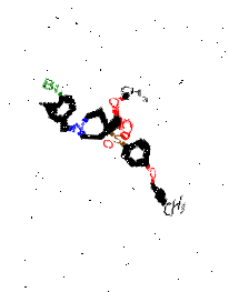 CC#CCOc1ccc(S(=O)(=O)C2(C(=O)OCC)CCN(Cc3ccc(Br)cc3)CC2)cc1